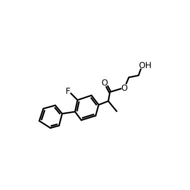 CC(C(=O)OCCO)c1ccc(-c2ccccc2)c(F)c1